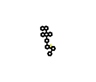 c1ccc(-c2cccc3sc4c(-c5ccc(-c6c7ccccc7c(-c7cccc8ccccc78)c7ccccc67)cc5)cccc4c23)cc1